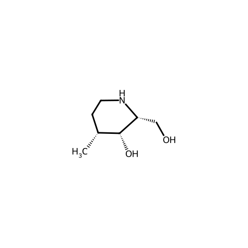 C[C@@H]1CCN[C@H](CO)[C@@H]1O